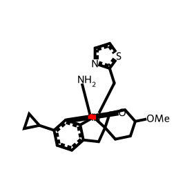 COC1CCC2(CC1)Cc1ccc(C3CC3)cc1C21N=C(N)N(Cc2nccs2)C1=O